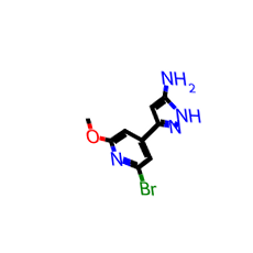 COc1cc(-c2cc(N)[nH]n2)cc(Br)n1